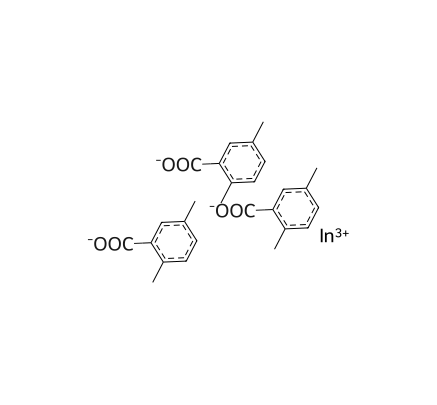 Cc1ccc(C)c(C(=O)[O-])c1.Cc1ccc(C)c(C(=O)[O-])c1.Cc1ccc(C)c(C(=O)[O-])c1.[In+3]